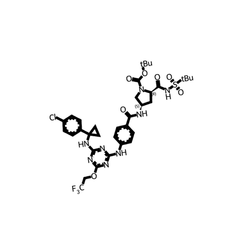 CC(C)(C)OC(=O)N1C[C@@H](NC(=O)c2ccc(Nc3nc(NC4(c5ccc(Cl)cc5)CC4)nc(OCC(F)(F)F)n3)cc2)C[C@@H]1C(=O)NS(=O)(=O)C(C)(C)C